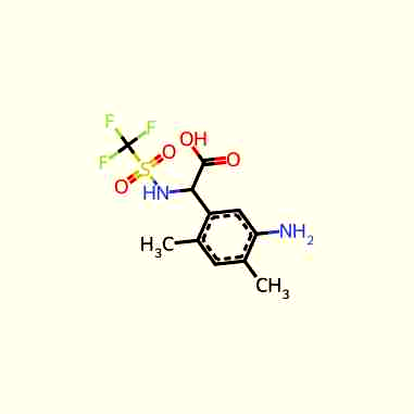 Cc1cc(C)c(C(NS(=O)(=O)C(F)(F)F)C(=O)O)cc1N